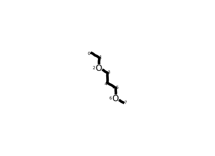 CCOCC[CH]OC